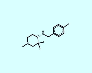 CN1CC[C@H](NCc2ccc(F)cc2)C(F)(F)C1